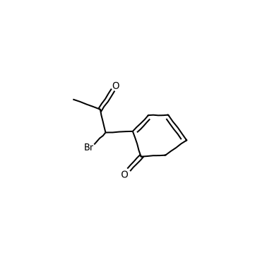 CC(=O)C(Br)C1=CC=CCC1=O